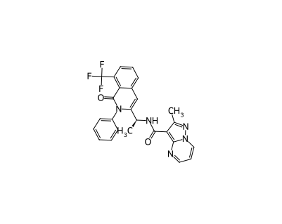 Cc1nn2cccnc2c1C(=O)N[C@@H](C)c1cc2cccc(C(F)(F)F)c2c(=O)n1-c1ccccc1